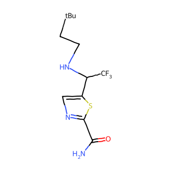 CC(C)(C)CCNC(c1cnc(C(N)=O)s1)C(F)(F)F